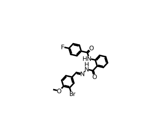 COc1ccc(/C=N/NC(=O)c2ccccc2NC(=O)c2ccc(F)cc2)cc1Br